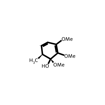 COC1=C(OC)[C@@](O)(OC)[C@@H](C)[C]=C1